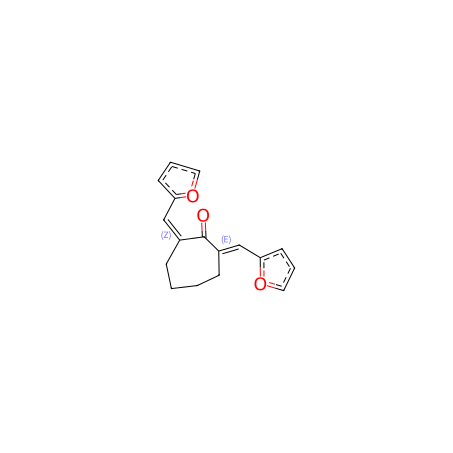 O=C1/C(=C\c2ccco2)CCCC/C1=C\c1ccco1